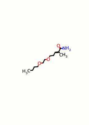 CCCCOCCOCC/C=C(\C)C(N)=O